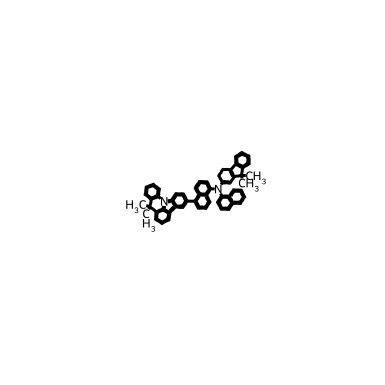 CC1(C)C2=C(CCC(N(c3cccc4ccccc34)c3cccc4c(-c5ccc6c(c5)c5cccc7c5n6-c5ccccc5C7(C)C)cccc34)=C2)c2ccccc21